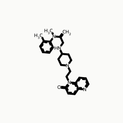 C=C(CNC1CCN(CCn2c(=O)ccc3ncccc32)CC1)N(C)c1ccccc1C